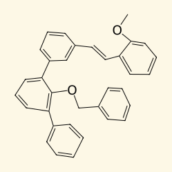 COc1ccccc1C=Cc1cccc(-c2cccc(-c3ccccc3)c2OCc2ccccc2)c1